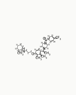 Cc1c(OCCCNC2CCCCC2C)ccc(C(C)N2CCN(C(=O)c3ccc(C(F)(F)F)cc3)CC2)c1C